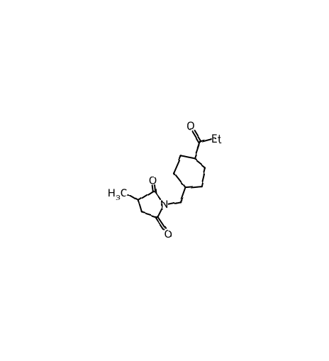 CCC(=O)C1CCC(CN2C(=O)CC(C)C2=O)CC1